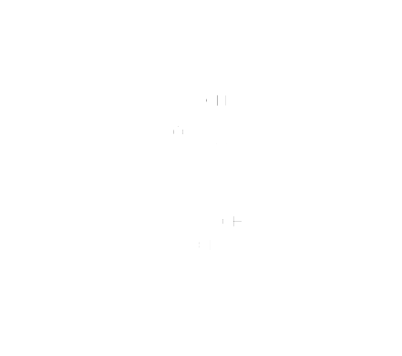 CC1OCC2(CCCC(C)(C)C2)CO1